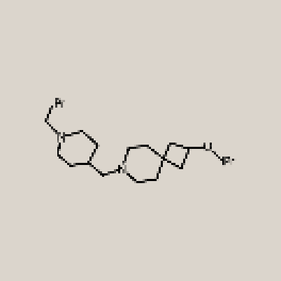 CC(C)CN1CCC(CN2CCC3(CC2)CC(OC(C)C)C3)CC1